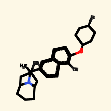 CC[C@H]1CC[C@@H](Oc2ccc3cc(C(C)N4C5CCCC4CC(C(=O)O)C5)ccc3c2C#N)CC1